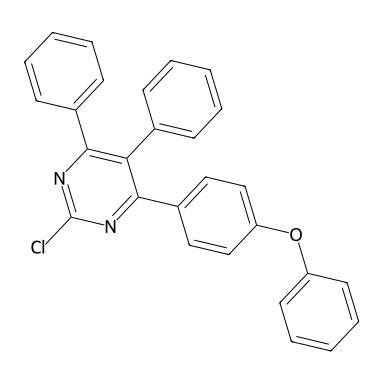 Clc1nc(-c2ccccc2)c(-c2ccccc2)c(-c2ccc(Oc3ccccc3)cc2)n1